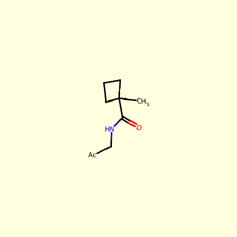 CC(=O)CNC(=O)C1(C)CCC1